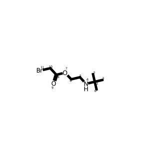 CC(C)(C)NCCOC(=O)CBr